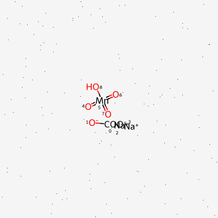 O=C([O-])[O-].[Na+].[Na+].[O]=[Mn](=[O])(=[O])[OH]